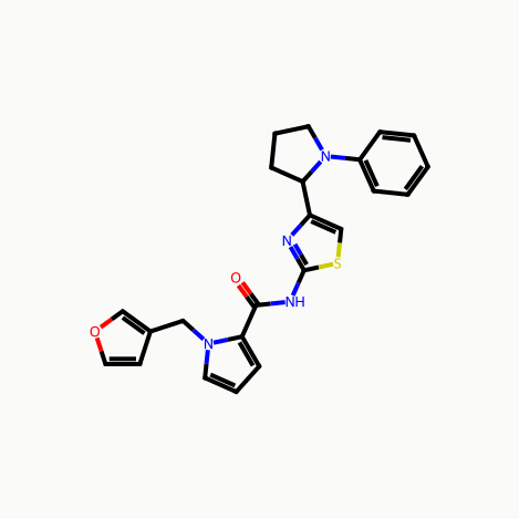 O=C(Nc1nc(C2CCCN2c2ccccc2)cs1)c1cccn1Cc1ccoc1